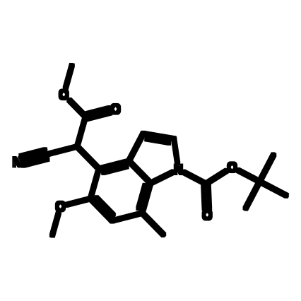 COC(=O)C(C#N)c1c(OC)cc(C)c2c1ccn2C(=O)OC(C)(C)C